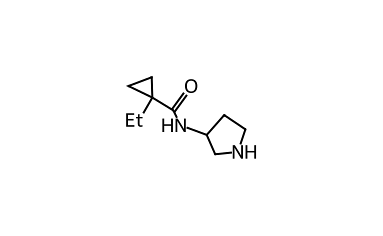 CCC1(C(=O)NC2CCNC2)CC1